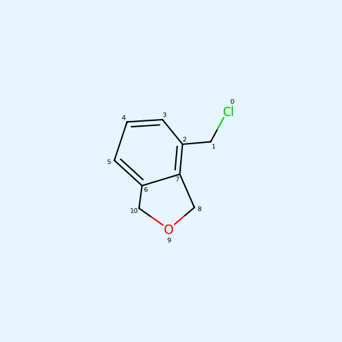 ClCc1cccc2c1COC2